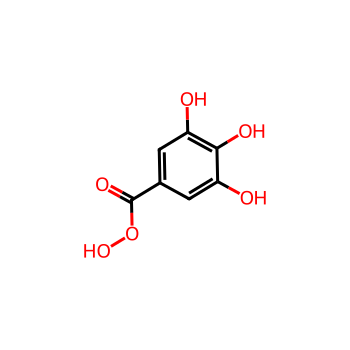 O=C(OO)c1cc(O)c(O)c(O)c1